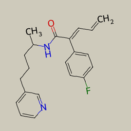 C=CC=C(C(=O)NC(C)CCCc1cccnc1)c1ccc(F)cc1